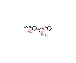 COc1ccc(/C(=C/C(=O)Oc2ccccc2)CO[N+](=O)[O-])cc1O